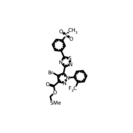 CSCOC(=O)c1nn(-c2ccccc2C(F)(F)F)c(-c2nsc(-c3cccc(S(C)(=O)=O)c3)n2)c1Br